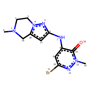 CN1CCn2nc(Nc3cc(Br)nn(C)c3=O)cc2C1